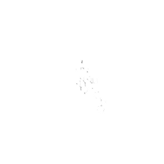 CC#CC(=O)N1CCCC(Nc2ncnc3[nH]cc(C(=O)c4ccc(Oc5ccccc5)cc4)c23)C1